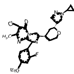 COc1ccc(-c2nc([C@@H]3CCO[C@@H](c4cnn(C5CC5)c4)C3)cn3c(=O)c(Cl)c(C)nc23)c(F)c1